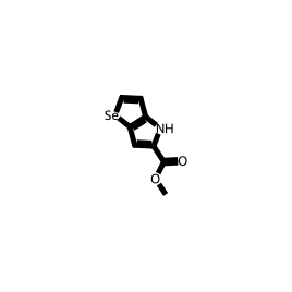 COC(=O)c1cc2[se]ccc2[nH]1